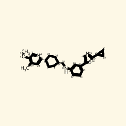 COc1cnc([C@H]2CC[C@H](CNc3cccc(-c4cnc(C5CC5)s4)c3)CC2)cc1C